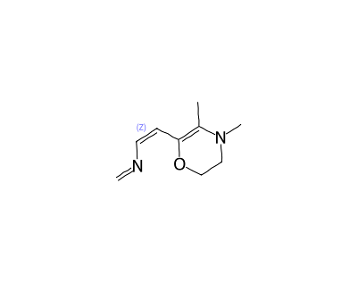 C=N/C=C\C1=C(C)N(C)CCO1